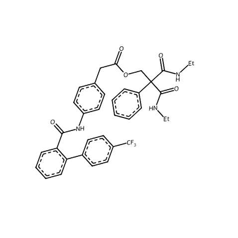 CCNC(=O)C(COC(=O)Cc1ccc(NC(=O)c2ccccc2-c2ccc(C(F)(F)F)cc2)cc1)(C(=O)NCC)c1ccccc1